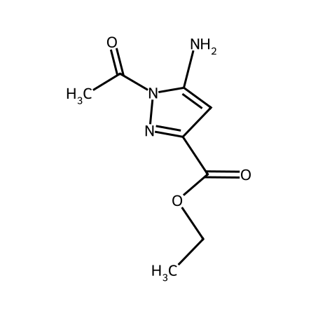 CCOC(=O)c1cc(N)n(C(C)=O)n1